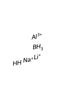 B.[Al+3].[HH].[Li+].[Na+]